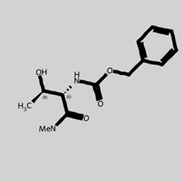 CNC(=O)[C@@H](NC(=O)OCc1ccccc1)[C@@H](C)O